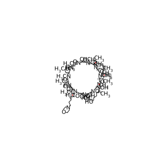 CC[C@@H]1NC(=O)[C@H]([C@H](O)[C@H](C)CCCCO)N(C)C(=O)[C@H](C(C)C)N(C)C(=O)[C@H](CC(C)C)N(C)C(=O)[C@H](CC(C)C)N(C)C(=O)[C@@H](C)NC(=O)[C@H](C)NC(=O)[C@H](CC(C)C)N(C)C(=O)[C@H](C(C)C)NC(=O)[C@H]([C@@H](C)OCCCCN2CCOCC2)N(C)C(=O)[C@@H](C)N(C)C1=O